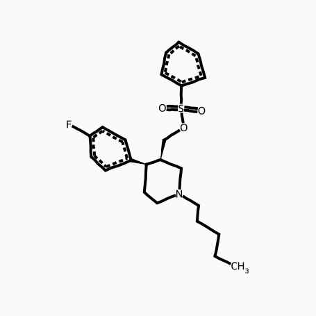 CCCCCN1CC[C@@H](c2ccc(F)cc2)[C@@H](COS(=O)(=O)c2ccccc2)C1